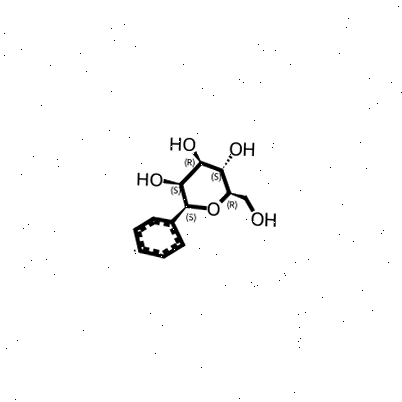 OC[C@H]1O[C@@H](c2cc[c]cc2)[C@@H](O)[C@@H](O)[C@@H]1O